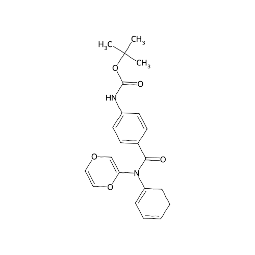 CC(C)(C)OC(=O)Nc1ccc(C(=O)N(C2=CC=CCC2)C2=COC=CO2)cc1